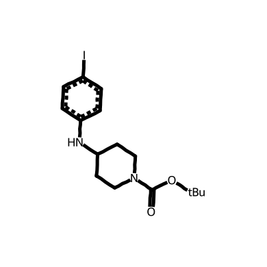 CC(C)(C)OC(=O)N1CCC(Nc2ccc(I)cc2)CC1